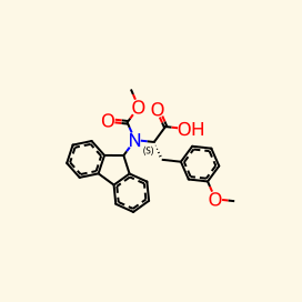 COC(=O)N(C1c2ccccc2-c2ccccc21)[C@@H](Cc1cccc(OC)c1)C(=O)O